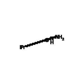 CC(C)CCCCCCCCCCCCCCCCCOCCCNCCCN